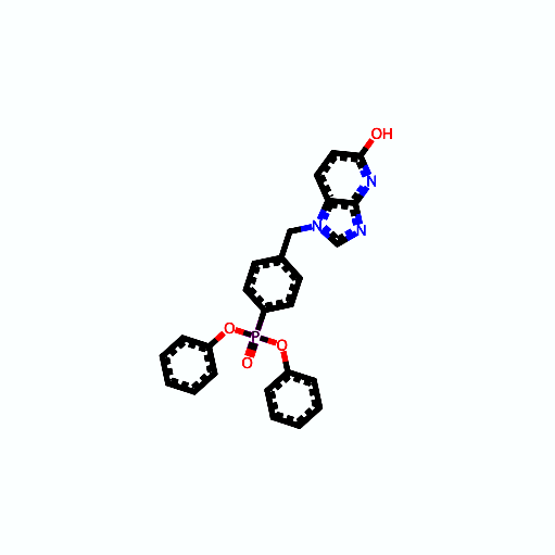 O=P(Oc1ccccc1)(Oc1ccccc1)c1ccc(Cn2cnc3nc(O)ccc32)cc1